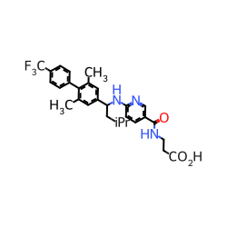 Cc1cc(C(CC(C)C)Nc2ccc(C(=O)NCCC(=O)O)cn2)cc(C)c1-c1ccc(C(F)(F)F)cc1